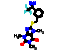 Cn1c(=O)c2c(nc(SCc3cccc(C4(C(F)(F)F)N=N4)c3)n2C)n(C)c1=O